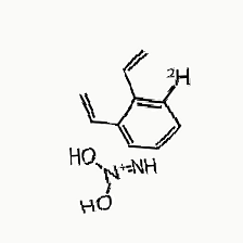 N=[N+](O)O.[2H]c1cccc(C=C)c1C=C